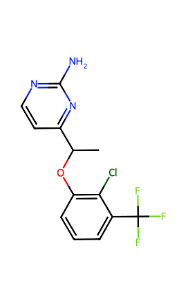 CC(Oc1cccc(C(F)(F)F)c1Cl)c1ccnc(N)n1